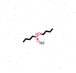 CCCCO[PH](=O)CCCC.[Nd]